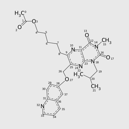 CC(=O)OCCCCCc1nc2c(=O)n(C)c(=O)n(CC(C)C)c2nc1COc1ccc2ncccc2c1